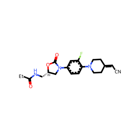 CCC(=O)NC[C@H]1CN(c2ccc(N3CCC(=CC#N)CC3)c(F)c2)C(=O)O1